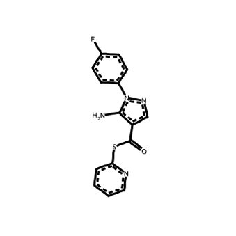 Nc1c(C(=O)Sc2ccccn2)cnn1-c1ccc(F)cc1